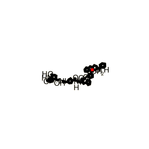 O=C(NCCN(Cc1ccccc1)C(=O)COc1cccc([C@@](O)(C(=O)O)c2ccccc2CC2CCN(Cc3ccccc3)CC2)c1)c1ccc(CCNC[C@H](O)c2ccc(O)c3[nH]c(=O)ccc23)cc1